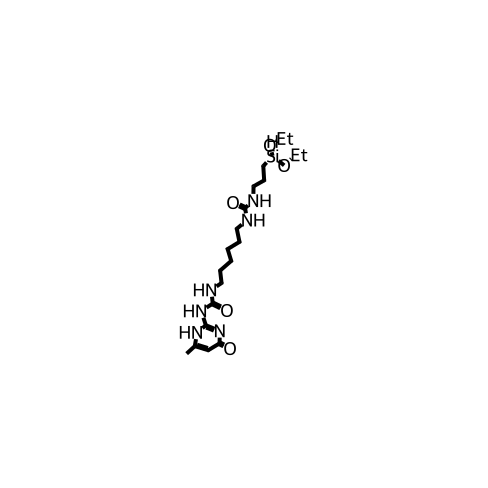 CCO[SiH](CCCNC(=O)NCCCCCCNC(=O)Nc1nc(=O)cc(C)[nH]1)OCC